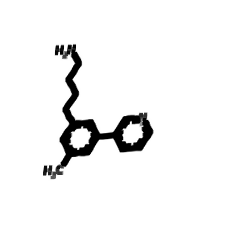 Cc1cc(CCCCN)cc(-c2cccnc2)c1